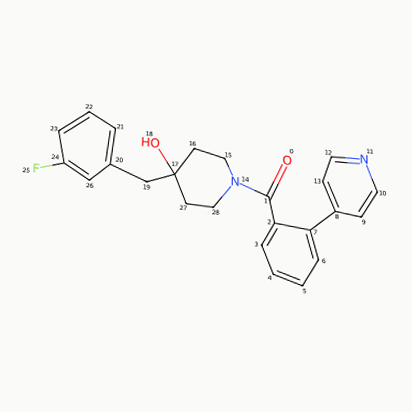 O=C(c1ccccc1-c1ccncc1)N1CCC(O)(Cc2cccc(F)c2)CC1